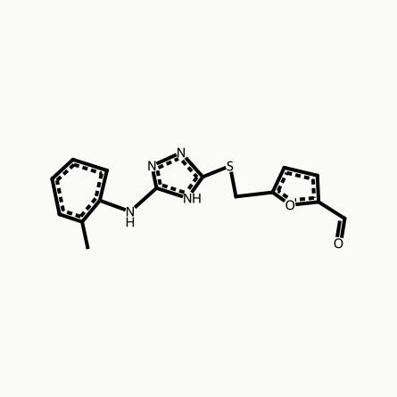 Cc1ccccc1Nc1nnc(SCc2ccc(C=O)o2)[nH]1